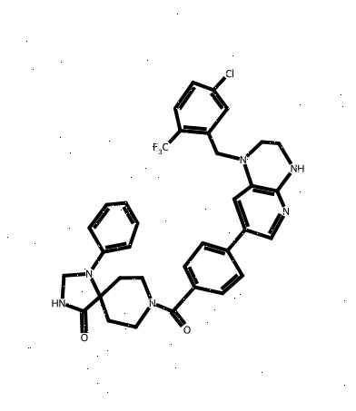 O=C(c1ccc(-c2cnc3c(c2)N(Cc2cc(Cl)ccc2C(F)(F)F)CCN3)cc1)N1CCC2(CC1)C(=O)NCN2c1ccccc1